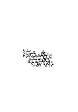 C=C/C=C\c1c(C)oc2c(N(c3ccccc3-c3ccccc3)c3cc(C(C)C)c4ccc5c(N(c6ccccc6-c6ccccc6)c6cccc7c6oc6ccccc67)cc(C(C)C)c6ccc3c4c65)cccc12